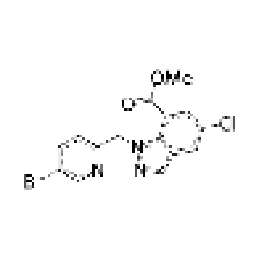 COC(=O)c1cc(Cl)cc2cnn(Cc3ccc(Br)cn3)c12